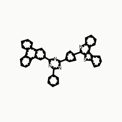 c1ccc(-c2nc(-c3ccc(-c4nc5ccccc5c5c4sc4ccccc45)cc3)nc(-c3ccc4c5ccccc5c5ccccc5c4c3)n2)cc1